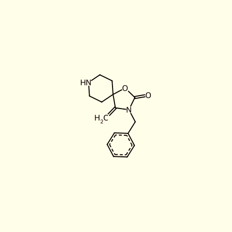 C=C1N(Cc2ccccc2)C(=O)OC12CCNCC2